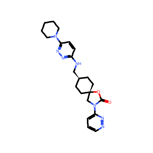 O=C1O[C@]2(CC[C@H](CNc3ccc(N4CCCCC4)nn3)CC2)CN1c1cccnn1